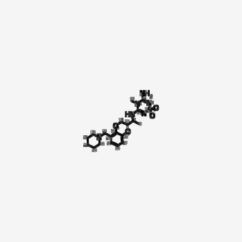 CC(NC1=NS(=O)(=O)N=C(N)N1C)C1COc2c(CN3CCCCC3)cccc2O1